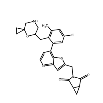 Cc1cc(Cl)cc(-c2ccnc3cc(CN4C(=O)C5CC5C4=O)sc23)c1CC1CNCC2(CC2)O1